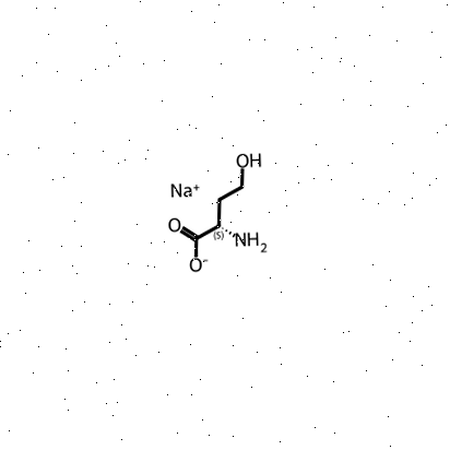 N[C@@H](CCO)C(=O)[O-].[Na+]